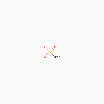 CNS([O])(=O)=O